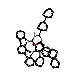 c1ccc(-c2ccc(C3=NC(c4ccc(-c5ccccc5)cc4)NC(n4c5ccccc5c5ccc6c7ccccc7n(-c7cccc(-c8ccccc8)c7-c7ccccc7)c6c54)N3)cc2)cc1